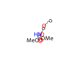 COC(=O)c1ccc(NC(=O)CCc2ccc(OCCCCc3ccccc3)cc2)cc1C(=O)OC